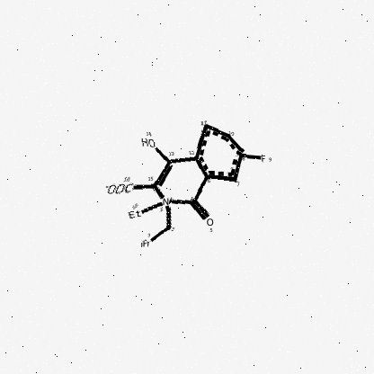 CC[N+]1(CC(C)C)C(=O)c2cc(F)ccc2C(O)=C1C(=O)[O-]